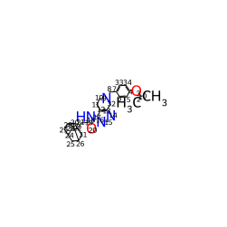 CC(C)Oc1ccc(CN2CCc3c(ncnc3NC(=O)CC34CC5CC(CC(C5)C3)C4)C2)cc1